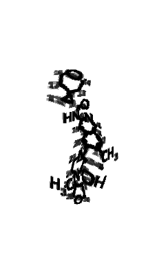 Cc1cc2cnc(NC(=O)[C@@H]3CC34CCOCC4)cc2cc1N1CCN([C@@]2(C)COC[C@H]2O)CC1